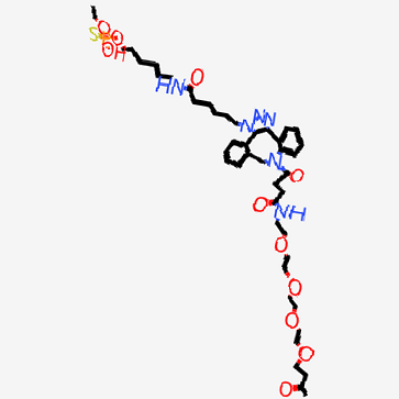 CCOP(O)(=S)OCCCCCCNC(=O)CCCCCn1nnc2c1-c1ccccc1CN(C(=O)CCC(=O)NCCOCCOCCOCCOCCC(C)=O)c1ccccc1-2